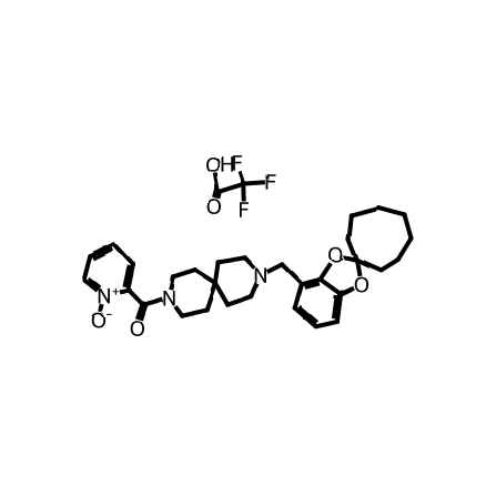 O=C(O)C(F)(F)F.O=C(c1cccc[n+]1[O-])N1CCC2(CCN(Cc3cccc4c3OC3(CCCCCCC3)O4)CC2)CC1